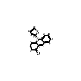 O=C1CCC=C2C1=Cc1ccccc1N2c1cccs1